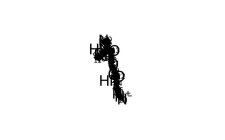 CC1(C[C@H](NC(=O)OC(C)(C)C)C(=O)NCCOCCOC(=O)NCCCN=[N+]=[N-])N=N1